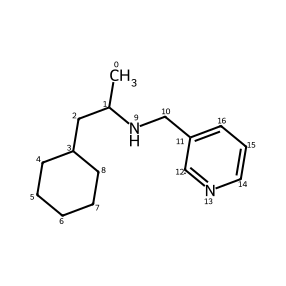 CC(CC1CCCCC1)NCc1[c]nccc1